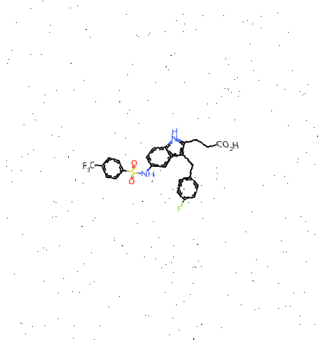 O=C(O)CCc1[nH]c2ccc(NS(=O)(=O)c3ccc(C(F)(F)F)cc3)cc2c1Cc1ccc(F)cc1